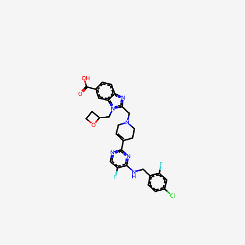 O=C(O)c1ccc2nc(CN3CC=C(c4ncc(F)c(NCc5ccc(Cl)cc5F)n4)CC3)n(C[C@@H]3CCO3)c2c1